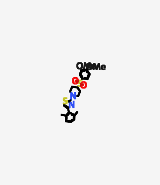 COc1ccc(S(=O)(=O)C2CCN(c3nc(-c4c(C)cccc4C)cs3)CC2)cc1OC